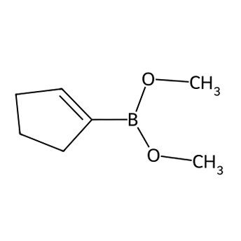 COB(OC)C1=CCCC1